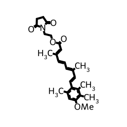 COc1cc(C)c(C=CC(C)=CC=CC(C)=CC(=O)OCCN2C(=O)CCC2=O)c(C)c1C